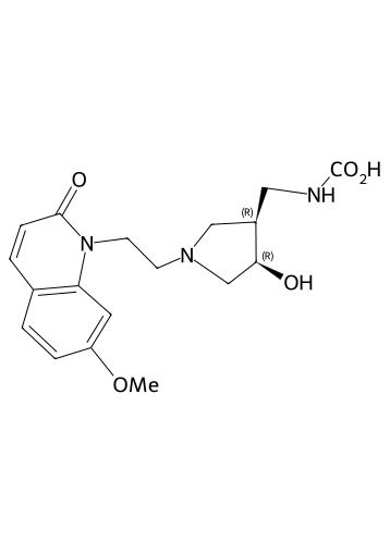 COc1ccc2ccc(=O)n(CCN3C[C@@H](CNC(=O)O)[C@@H](O)C3)c2c1